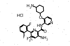 Cl.Nc1cc(C(F)(F)F)c(-c2c(F)cccc2F)nc1C(=O)Nc1cnccc1OC1CCCC(N)C1